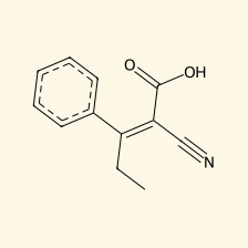 CCC(=C(C#N)C(=O)O)c1ccccc1